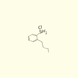 CCCCc1ccccc1[SiH2]Cl